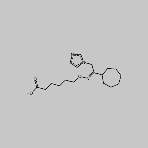 O=C(O)CCCCCON=C(Cn1ccnc1)C1CCCCCC1